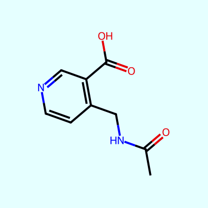 CC(=O)NCc1ccncc1C(=O)O